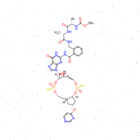 CC(C)[C@H](NC(=O)OC(C)(C)C)C(=O)N[C@@H](C)C(=O)NCc1ccccc1C(=O)Nc1nc2c(ncn2[C@@H]2O/C3=C/O[P@@](=O)(S)O[C@H]4C[C@H](Oc5ccncn5)C[C@@H]4CCO[P@@](=O)(S)O[C@@H]2[C@@H]3O)c(=O)[nH]1